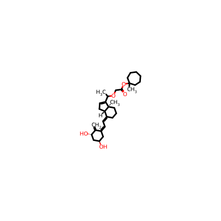 C=C1/C(=C\C=C2/CCC[C@]3(C)C(C(C)OCC(=O)OC4(C)CCCCCC4)=CC[C@@H]23)C[C@@H](O)C[C@@H]1O